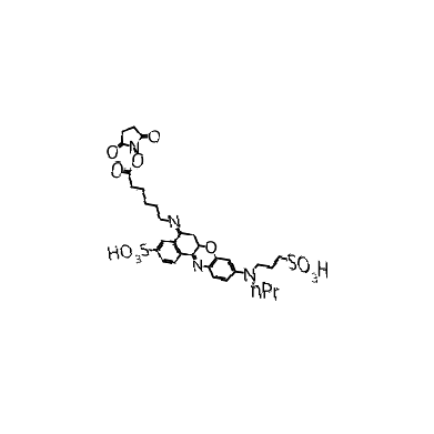 CCCN(CCCS(=O)(=O)O)c1ccc2c(c1)OC1C/C(=N/CCCCCC(=O)ON3C(=O)CCC3=O)c3cc(S(=O)(=O)O)ccc3C1=N2